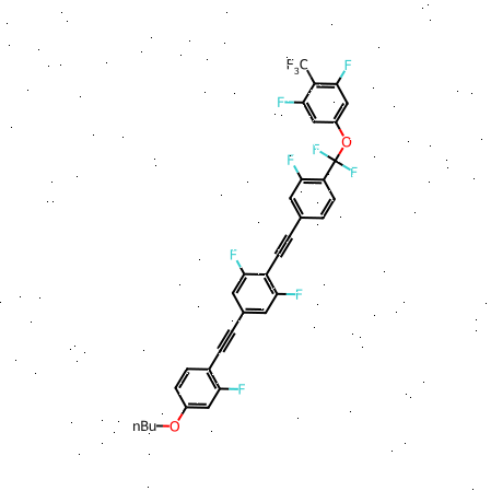 CCCCOc1ccc(C#Cc2cc(F)c(C#Cc3ccc(C(F)(F)Oc4cc(F)c(C(F)(F)F)c(F)c4)c(F)c3)c(F)c2)c(F)c1